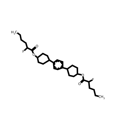 CCCCC(F)C(=O)OC1CCC(c2ccc(C3CCC(OC(=O)C(F)CCCC)CC3)cc2)CC1